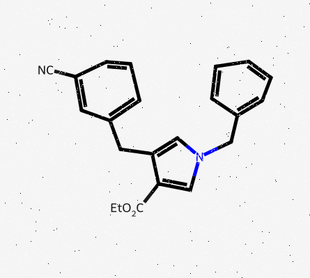 CCOC(=O)c1cn(Cc2ccccc2)cc1Cc1cccc(C#N)c1